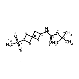 CC(C)(C)OC(=O)NC1CC2(C1)CC(S(C)(=O)=O)C2